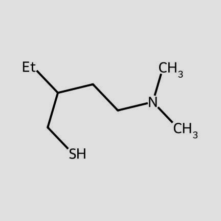 CCC(CS)CCN(C)C